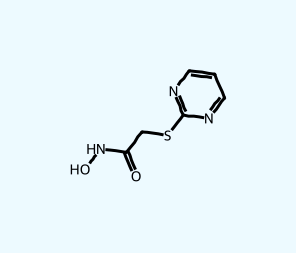 O=C(CSc1ncccn1)NO